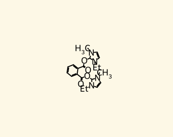 CCN1C=CN(C)C1OC(=O)c1ccccc1C(=O)OC1N(C)C=CN1CC